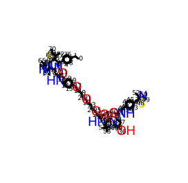 CCc1ccc(C2=N[C@@H](CC(=O)Nc3ccc(OCCCOCCCOCC(=O)NC(C(=O)N4C[C@H](O)C[C@H]4C(=O)NCc4ccc(-c5scnc5C)cc4)C(C)(C)C)cc3)c3nnc(C)n3-c3sc(C)c(C)c32)cc1